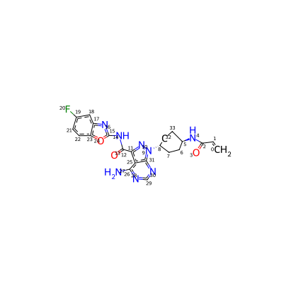 C=CC(=O)N[C@H]1CC[C@H](n2nc(C(=O)Nc3nc4cc(F)ccc4o3)c3c(N)ncnc32)CC1